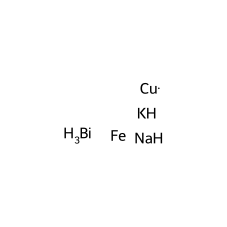 [BiH3].[Cu].[Fe].[KH].[NaH]